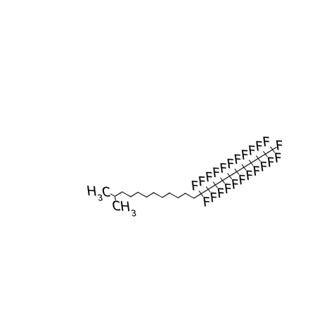 CC(C)CCCCCCCCCCC(F)(F)C(F)(F)C(F)(F)C(F)(F)C(F)(F)C(F)(F)C(F)(F)C(F)(F)C(F)(F)C(F)(F)C(F)(F)F